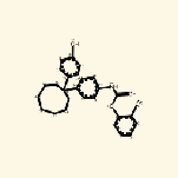 CC(=O)c1ccccc1OC(=O)Nc1ccc(C2(c3ccc(O)cc3)CCCCCCC2)cc1